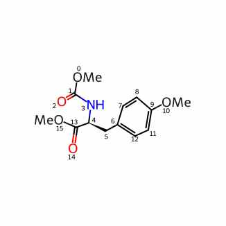 COC(=O)N[C@@H](Cc1ccc(OC)cc1)C(=O)OC